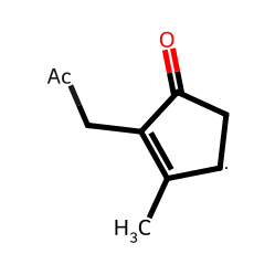 CC(=O)CC1=C(C)[CH]CC1=O